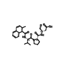 Cc1ccc2ccccc2c1C(=O)N[C@H](C(=O)N1CCC[C@H]1C(=O)N[C@H](C=O)CC(=O)O)C(C)C